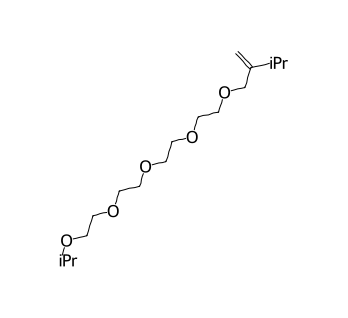 C=C(COCCOCCOCCOCCOC(C)C)C(C)C